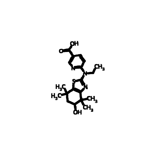 CCN(c1ccc(C(=O)O)cn1)c1nc2c(s1)C(C)(C)CC(O)C2(C)C